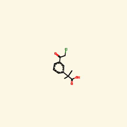 CC(C)(C(=O)O)c1cccc(C(=O)CCl)c1